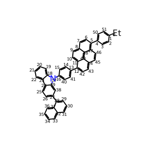 CCc1ccc(-c2ccc3ccc4c(-c5ccc(-n6c7ccccc7c7ccc(-c8cccc9ccccc89)cc76)cc5)ccc5ccc2c3c54)cc1